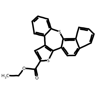 CCOC(=O)c1cc2c(s1)-c1ccc3ccccc3c1Sc1ccccc1-2